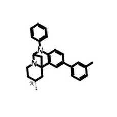 Cc1cccc(-c2ccc3c(c2)C24CC(N3c3ccccc3)N2CC[C@@H](C)C4)c1